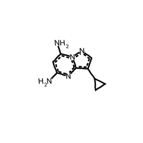 Nc1cc(N)n2ncc(C3CC3)c2n1